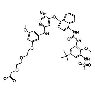 COc1cc(Nc2cc(Oc3ccc(NC(=O)Nc4cc(C(C)(C)C)cc(NS(C)(=O)=O)c4OC)c4ccccc34)ccn2)cc(OCCOCCOCC(=O)[O-])c1.[Na+]